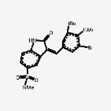 CNS(=O)(=O)c1ccc2c(c1)C(=Cc1cc(Br)c(OC)c(C(C)(C)C)c1)C(=O)N2